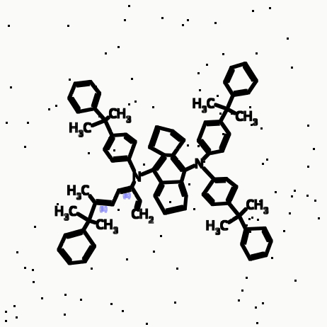 C=C/C(=C\C=C(/C)C(C)(C)c1ccccc1)N(c1ccc(C(C)(C)c2ccccc2)cc1)c1c2ccccc2c(N(c2ccc(C(C)(C)c3ccccc3)cc2)c2ccc(C(C)(C)c3ccccc3)cc2)c2ccccc12